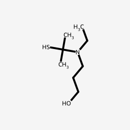 CCN(CCCO)C(C)(C)S